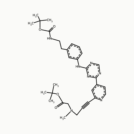 CN(CC#Cc1cc(-c2ncnc(Nc3cccc(CCNC(=O)OC(C)(C)C)c3)n2)ccn1)CC(=O)OC(C)(C)C